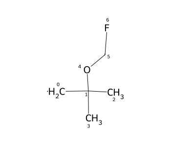 [CH2]C(C)(C)OCF